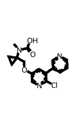 CN(C(=O)O)C1(COc2cnc(Cl)c(-c3cccnc3)c2)CC1